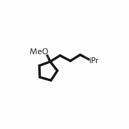 COC1(CCCC(C)C)CCCC1